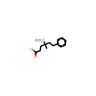 CCOC(=O)C(C)(CCC(=O)Cl)CCc1ccccc1